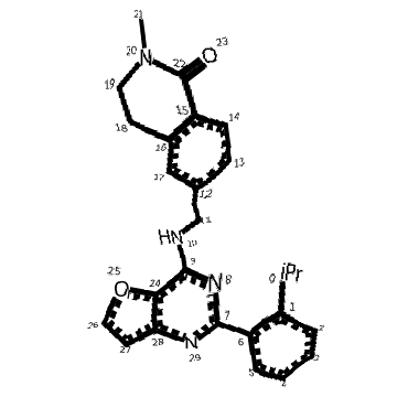 CC(C)c1ccccc1-c1nc(NCc2ccc3c(c2)CCN(C)C3=O)c2occc2n1